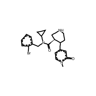 Cn1ccc(C2CCNC[C@@H]2C(=O)N(Cc2ccccc2Br)C2CC2)cc1=O